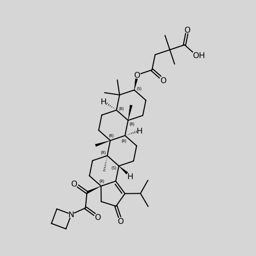 CC(C)C1=C2[C@H]3CC[C@@H]4[C@@]5(C)CC[C@H](OC(=O)CC(C)(C)C(=O)O)C(C)(C)[C@@H]5CC[C@@]4(C)[C@]3(C)CC[C@@]2(C(=O)C(=O)N2CCC2)CC1=O